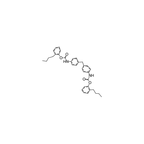 CCCCc1ccccc1OC(=O)Nc1ccc(Cc2ccc(NC(=O)Oc3ccccc3CCCC)cc2)cc1